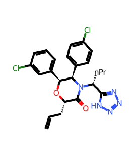 C=CC[C@@H]1O[C@@H](c2cccc(Cl)c2)[C@@H](c2ccc(Cl)cc2)N([C@H](CCC)c2nnn[nH]2)C1=O